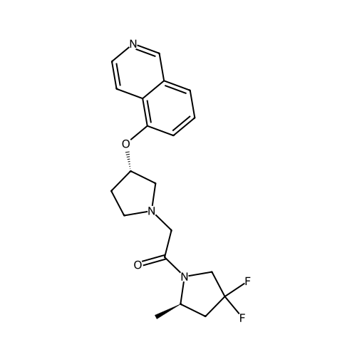 C[C@@H]1CC(F)(F)CN1C(=O)CN1CC[C@H](Oc2cccc3cnccc23)C1